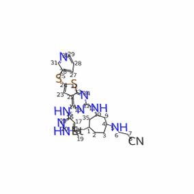 CCC1CCC(NCCC#N)CC(Nc2nc(Nc3cc(C)[nH]n3)c3cc(Sc4cccnc4)sc3n2)C1